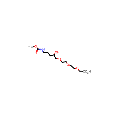 CC(C)(C)OC(=O)NCCCC(O)COCCOCCOCC(=O)O